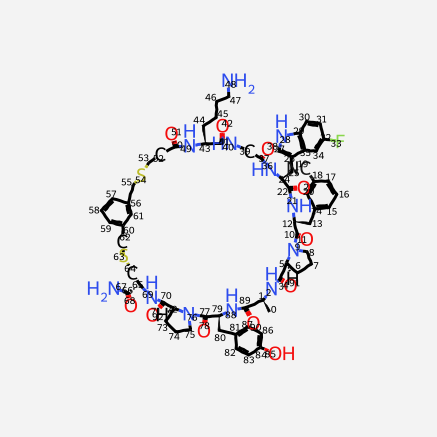 C[C@@H]1NC(=O)[C@@H]2CCCN2C(=O)[C@H](Cc2cccc(C#N)c2)NC(=O)[C@H](Cc2c[nH]c3ccc(F)cc23)NC(=O)CNC(=O)[C@H](CCCCN)NC(=O)CCSCc2cccc(c2)CSC[C@@H](C(N)=O)NC(=O)[C@@H]2CCCN2C(=O)[C@H](Cc2ccc(O)cc2)NC1=O